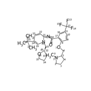 CN1CCCC1COc1ccc(C(F)(F)F)cc1C(=O)N=c1ccc(C(C)(C)C)cn1C[C@H]1CCCO1